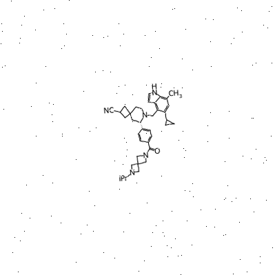 Cc1cc(C2CC2)c(CN2CCC3(CC(C#N)C3)C[C@H]2c2ccc(C(=O)N3CC4(C3)CN(C(C)C)C4)cc2)c2cc[nH]c12